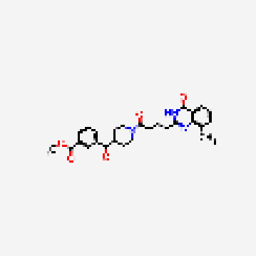 COC(=O)c1cccc(C(=O)C2CCN(C(=O)CCCc3nc4c(C)cccc4c(=O)[nH]3)CC2)c1